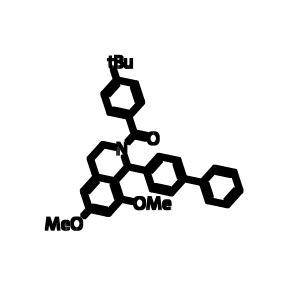 COc1cc2c(c(OC)c1)C(c1ccc(-c3ccccc3)cc1)N(C(=O)c1ccc(C(C)(C)C)cc1)CC2